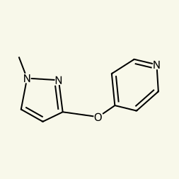 Cn1ccc(Oc2ccncc2)n1